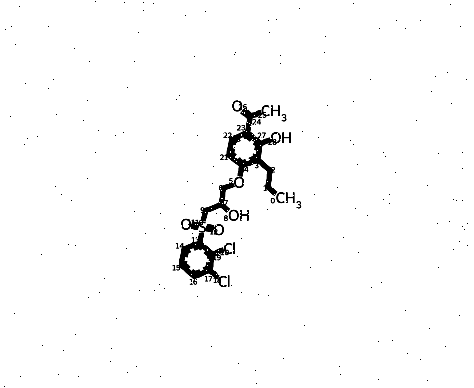 CCCc1c(OCC(O)CS(=O)(=O)c2cccc(Cl)c2Cl)ccc(C(C)=O)c1O